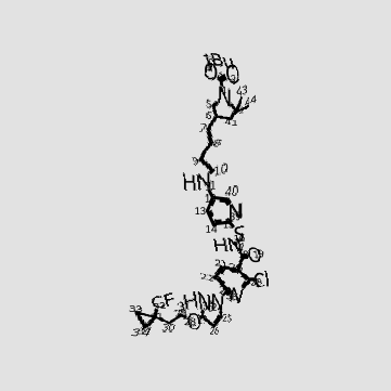 CC(C)(C)OC(=O)N1CC(CCCCNc2ccc(SNC(=O)c3ccc(N4C=CC(OCCC5(C(F)(F)F)CC5)N4)nc3Cl)nc2)CC1(C)C